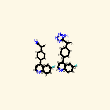 CC(C#N)C1CCC(c2ccnc3ccc(F)cc23)CC1.CC(c1nnn[nH]1)C1CCC(c2ccnc3ccc(F)cc23)CC1